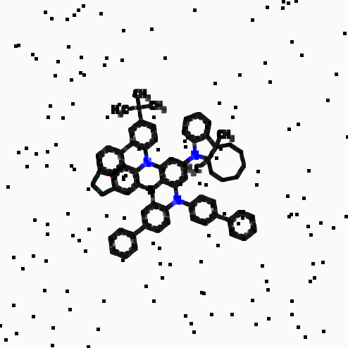 CC(C)(C)c1ccc(N2c3cc4c(cc3B3c5cc(-c6ccccc6)ccc5N(c5ccc(-c6ccccc6)cc5)c5cc(N6c7ccccc7C7(C)CCCCCCC67C)cc2c53)CCC4)c(-c2ccccc2)c1